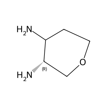 NC1CCOC[C@@H]1N